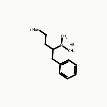 Br.CCCCCCCCCCCC(Cc1ccccc1)N(C)C